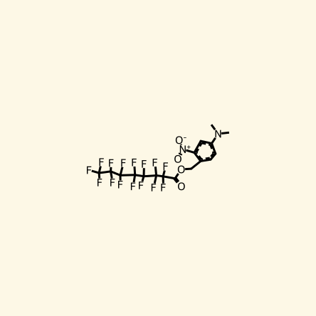 CN(C)c1ccc(COC(=O)C(F)(F)C(F)(F)C(F)(F)C(F)(F)C(F)(F)C(F)(F)C(F)(F)F)c([N+](=O)[O-])c1